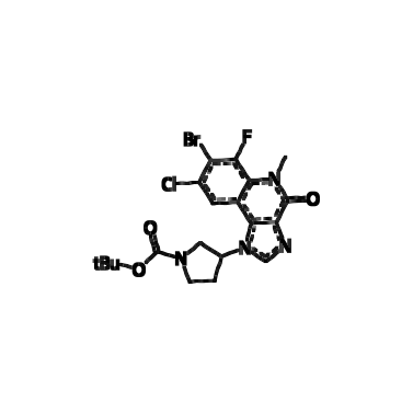 Cn1c(=O)c2ncn(C3CCN(C(=O)OC(C)(C)C)C3)c2c2cc(Cl)c(Br)c(F)c21